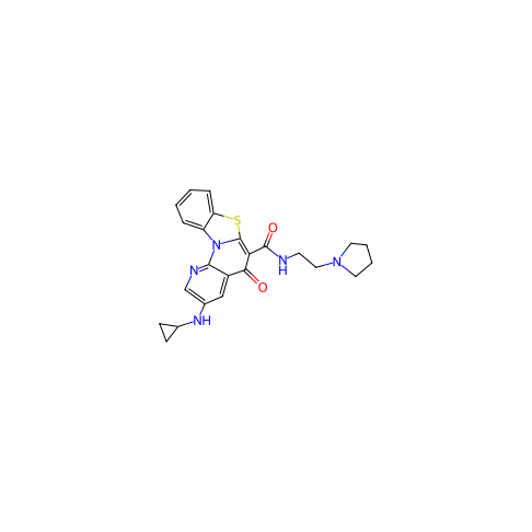 O=C(NCCN1CCCC1)c1c(=O)c2cc(NC3CC3)cnc2n2c1sc1ccccc12